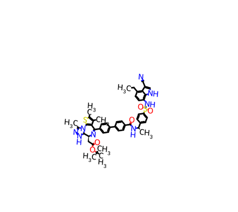 CCc1ccc(NS(=O)(=O)c2ccc([C@@H](C)NC(=O)c3ccc(-c4ccc(C5=N[C@@H](CC(=O)OC(C)(C)C)C6NN=C(C)N6c6sc(C)c(C)c65)cc4)cc3)cc2)c2[nH]cc(C#N)c12